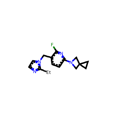 CCc1nccn1Cc1ccc(N2CC3(CC3)C2)nc1F